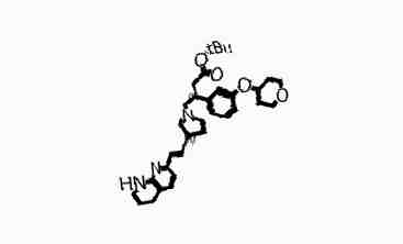 CC(C)(C)OC(=O)C[C@H](CN1CC[C@@H](CCc2ccc3c(n2)NCCC3)C1)c1cccc(OC2CCOCC2)c1